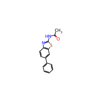 CC(=O)Nc1nc2ccc(-c3ccccc3)cc2s1